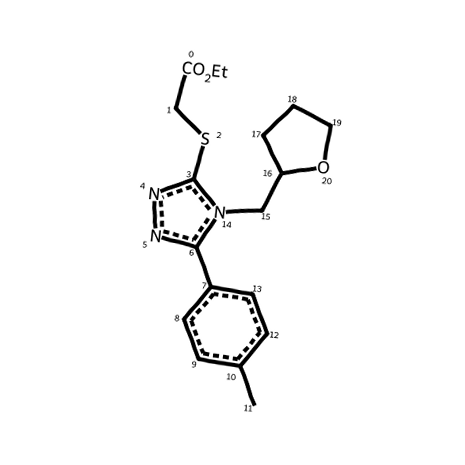 CCOC(=O)CSc1nnc(-c2ccc(C)cc2)n1CC1CCCO1